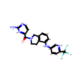 Nc1nccc(C(=O)N2CCc3c(cccc3Nc3ccc(C(F)(F)F)nc3)C2)n1